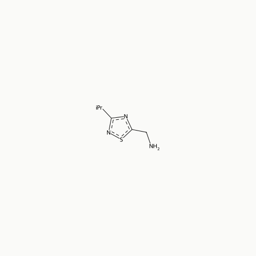 CC(C)c1nsc(CN)n1